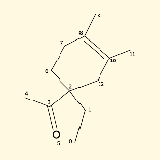 CCC1(C(C)=O)CCC(C)=C(C)C1